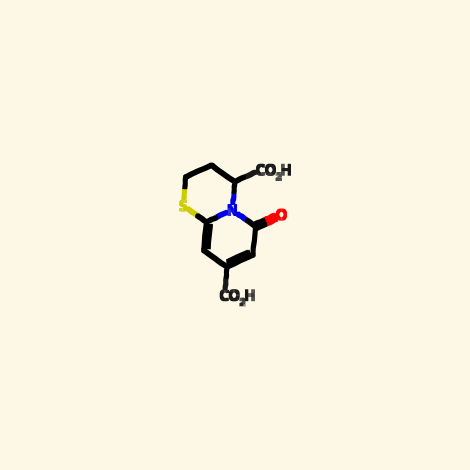 O=C(O)c1cc2n(c(=O)c1)C(C(=O)O)CCS2